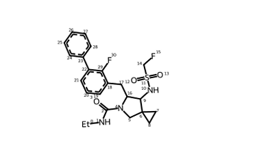 CCNC(=O)N1CC2(CC2)C(NS(=O)(=O)CF)C1Cc1cccc(-c2ccccc2)c1F